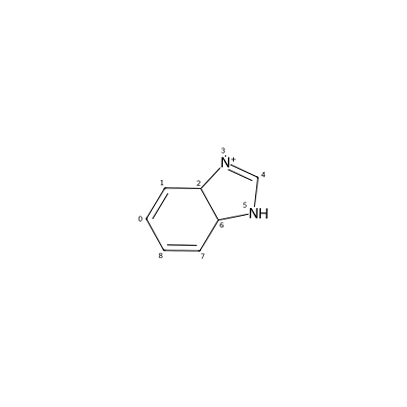 C1=CC2[N+]=CNC2C=C1